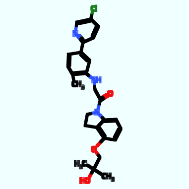 Cc1ccc(-c2ccc(Cl)cn2)cc1NCC(=O)N1CCc2c(OCC(C)(C)O)cccc21